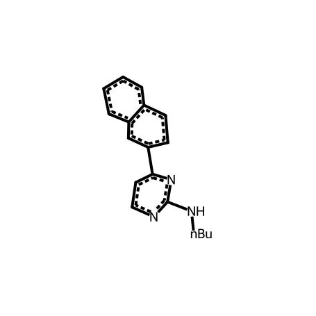 CCCCNc1nccc(-c2ccc3ccccc3c2)n1